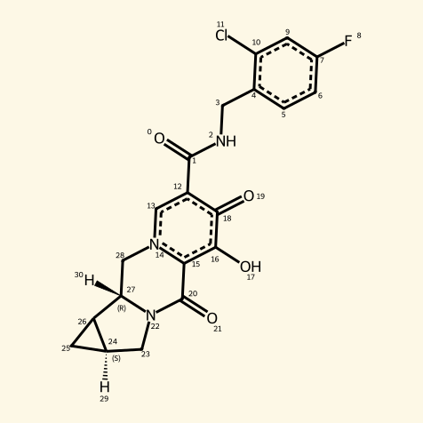 O=C(NCc1ccc(F)cc1Cl)c1cn2c(c(O)c1=O)C(=O)N1C[C@H]3CC3[C@@H]1C2